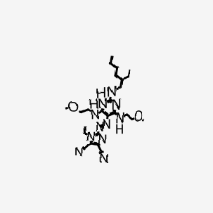 CCCCC(CC)CNc1nc(NCCOC)c(N=Nc2nc(C#N)c(C#N)n2CC)c(NCCOC)n1